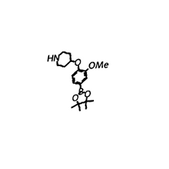 COc1cc(B2OC(C)(C)C(C)(C)O2)ccc1OC1CCNCC1